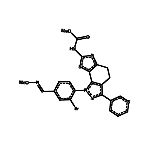 CON=Cc1ccc(-n2nc(-c3cccnc3)c3c2-c2sc(NC(=O)OC)nc2CC3)c(Br)c1